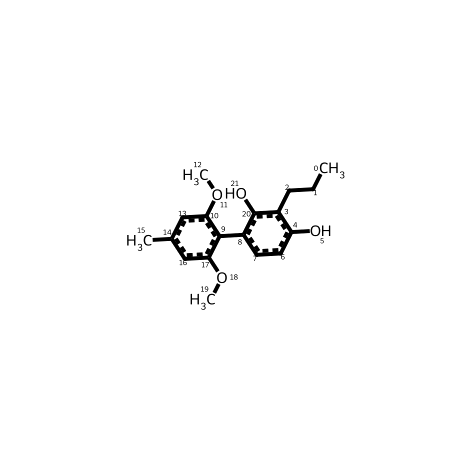 CCCc1c(O)ccc(-c2c(OC)cc(C)cc2OC)c1O